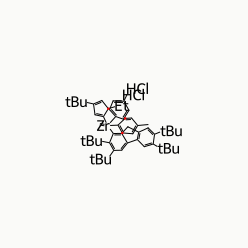 Cl.Cl.[CH2]=[Zr]([C]1=CC(C(C)(C)C)=CC1CC)([c]1ccc(C)cc1)([c]1ccc(C)cc1)[c]1c2c(cc(C(C)(C)C)c1C(C)(C)C)-c1cc(C(C)(C)C)c(C(C)(C)C)cc1C2